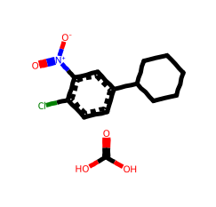 O=C(O)O.O=[N+]([O-])c1cc(C2CCCCC2)ccc1Cl